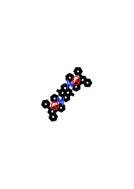 Cc1cc2c(N(c3ccccc3)c3cccc4c3oc3c(-c5ccccc5)cc5ccccc5c34)ccc3c(C)cc4c(N(c5ccccc5)c5cccc6c5oc5c(-c7ccccc7)cc7ccccc7c56)ccc1c4c32